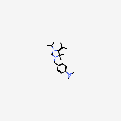 CC(C)=C1N(C(C)C)CN(Cc2ccc(N(C)C)cc2)C1(C)C